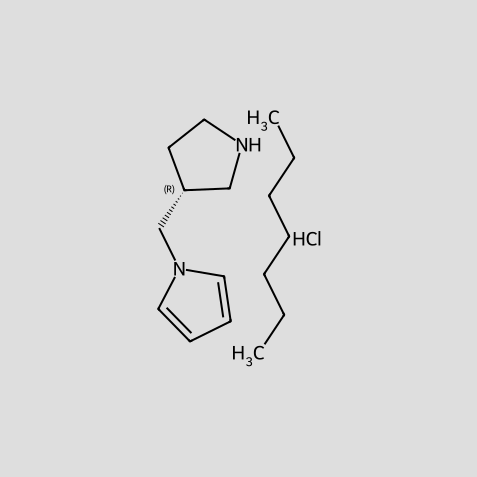 CCCCCCC.Cl.c1ccn(C[C@@H]2CCNC2)c1